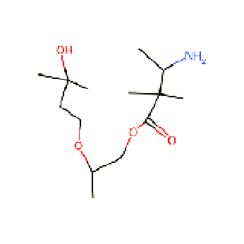 CC(COC(=O)C(C)(C)C(C)N)OCCC(C)(C)O